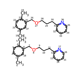 Cc1ccc(C)c(COCCCc2ccccn2)c1.Cc1ccc(C)c(COCCCc2ccccn2)c1